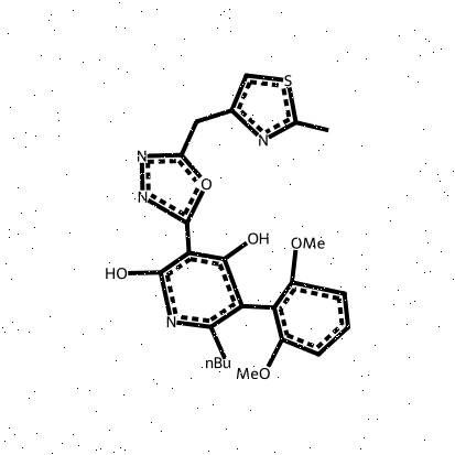 CCCCc1nc(O)c(-c2nnc(Cc3csc(C)n3)o2)c(O)c1-c1c(OC)cccc1OC